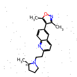 Cc1noc(C)c1-c1ccc2nc(CCN3CCC[C@H]3C)ccc2c1